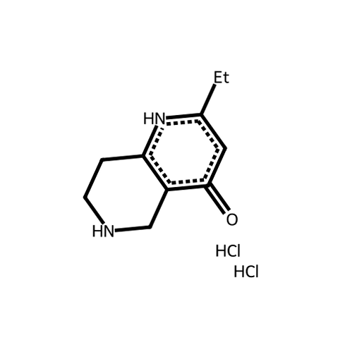 CCc1cc(=O)c2c([nH]1)CCNC2.Cl.Cl